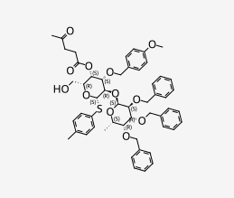 COc1ccc(CO[C@H]2[C@@H](OC(=O)CCC(C)=O)[C@@H](CO)O[C@@H](Sc3ccc(C)cc3)[C@@H]2O[C@@H]2O[C@@H](C)[C@@H](OCc3ccccc3)[C@@H](OCc3ccccc3)[C@@H]2OCc2ccccc2)cc1